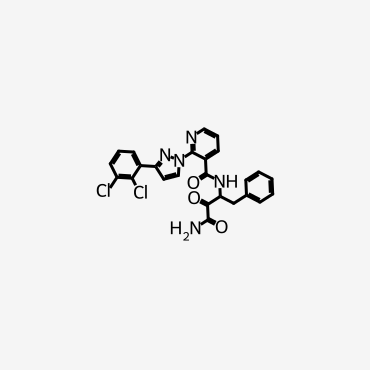 NC(=O)C(=O)C(Cc1ccccc1)NC(=O)c1cccnc1-n1ccc(-c2cccc(Cl)c2Cl)n1